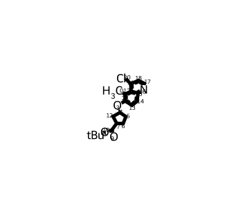 Cc1c(O[C@H]2CCC(C(=O)OC(C)(C)C)C2)ccc2nccc(Cl)c12